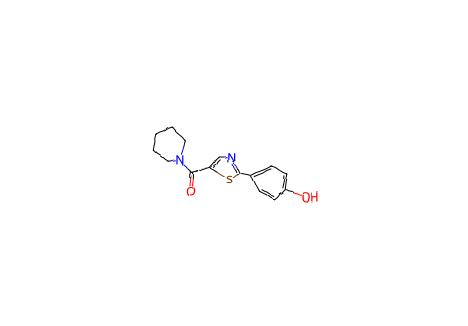 O=C(c1cnc(-c2ccc(O)cc2)s1)N1CCCCC1